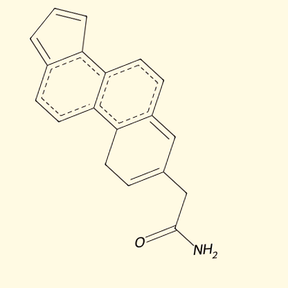 NC(=O)CC1=CCc2c(ccc3c4c(ccc23)=CC=C4)=C1